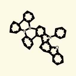 c1ccc(-n2c3ccc4c(c3c3ccc5c6ccccc6oc5c32)-c2ccccc2N2B4c3ccccc3-c3ccccc32)cc1